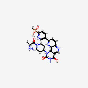 C[C@H](N)C(=O)N1CCC(n2c(=O)[nH]c(=O)c3cnc4ccc(-c5ccc(S(C)(=O)=O)nc5)nc4c32)CC1